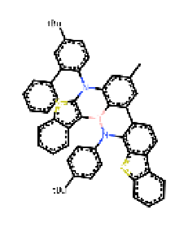 Cc1cc2c3c(c1)N(c1ccc(C(C)(C)C)cc1-c1ccccc1)c1sc4ccccc4c1B3N(c1ccc(C(C)(C)C)cc1)c1c-2ccc2c1sc1ccccc12